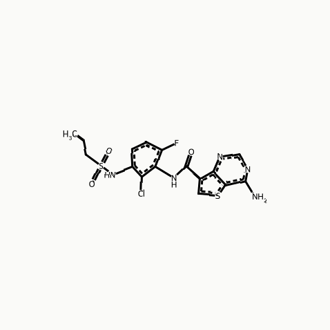 CCCS(=O)(=O)Nc1ccc(F)c(NC(=O)c2csc3c(N)ncnc23)c1Cl